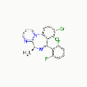 C[C@@H]1N=C(c2c(F)cccc2F)c2c(ccc(Br)c2Cl)-[n+]2cccnc21